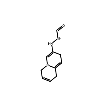 O=CNNC1=CN2CC=CCC2=CC1